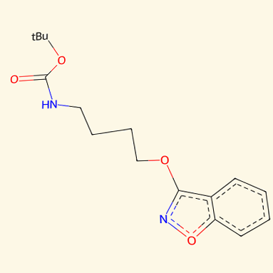 CC(C)(C)OC(=O)NCCCCOc1noc2ccccc12